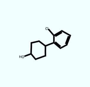 OC1CCC(c2ccccc2Cl)CC1